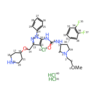 COCCN1C[C@@H](NC(=O)Nc2c(Cl)c(COC3CCNCC3)nn2-c2ccccc2)[C@H](c2ccc(F)c(F)c2)C1.Cl.Cl